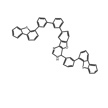 C1=Nc2c(oc3ccc(-c4cccc(-c5cccc(-c6cccc7c6sc6ccccc67)c5)c4)cc23)C(c2cccc(-c3cccc4c3sc3ccccc34)c2)N1